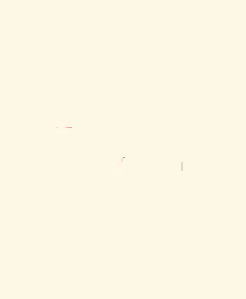 O=PCCCCC(=O)CCC(=O)O